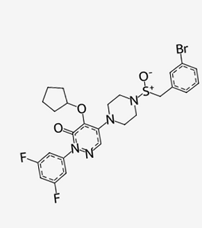 O=c1c(OC2CCCC2)c(N2CCN([S+]([O-])Cc3cccc(Br)c3)CC2)cnn1-c1cc(F)cc(F)c1